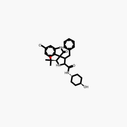 CC(C)(C)[C@@H]1NC(C(=O)N[C@H]2CC[C@H](O)CC2)C(Cc2ccccc2)C12C(=O)Nc1cc(Cl)ccc12